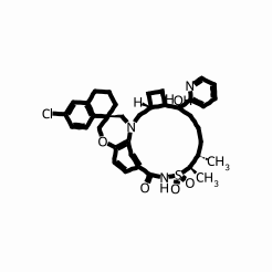 C[C@@H]1[C@@H](C)CCC[C@](O)(c2ccccn2)[C@@H]2CC[C@H]2CN2C[C@@]3(CCCc4cc(Cl)ccc43)COc3ccc(cc32)C(=O)NS1(=O)=O